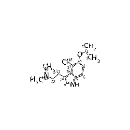 CC(C)Oc1ccc2[nH]cc(CCN(C)C)c2c1Cl